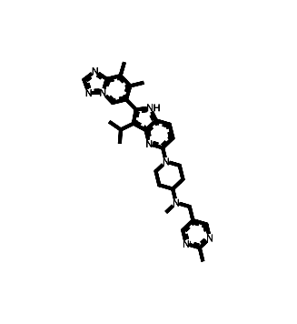 Cc1ncc(CN(C)C2CCN(c3ccc4[nH]c(-c5cn6ncnc6c(C)c5C)c(C(C)C)c4n3)CC2)cn1